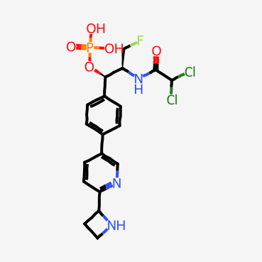 O=C(N[C@H](CF)[C@H](OP(=O)(O)O)c1ccc(-c2ccc(C3CCN3)nc2)cc1)C(Cl)Cl